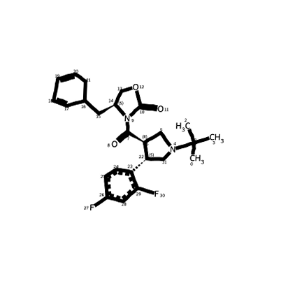 CC(C)(C)N1C[C@H](C(=O)N2C(=O)OC[C@@H]2CC2C=CC=CC2)[C@@H](c2ccc(F)cc2F)C1